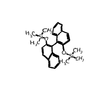 C[Si](C)(C)Oc1ccc2ccccc2c1-c1c(O[Si](C)(C)C)ccc2ccccc12